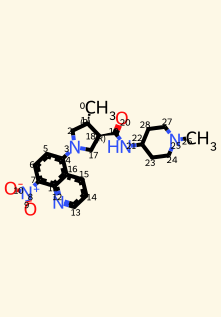 C[C@H]1CN(c2ccc([N+](=O)[O-])c3ncccc23)C[C@@H]1C(=O)NC1CCN(C)CC1